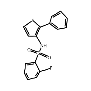 O=S(=O)(Nc1ccsc1-c1ccccc1)c1ccccc1F